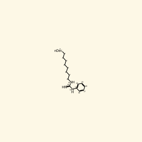 CCCCCCCCCCCCCCCCCCNC(=N)Nc1ccccc1